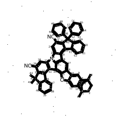 CC12CCC(C)(CC1)c1cc3c(cc12)oc1c3cc2c3c4c(c(C#N)cc3n3c5cc(C#N)c6c(c5c1c23)-c1ccccc1C6(C)C)C(c1ccccc1)(c1ccccc1)c1ccccc1-4